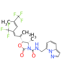 C=C(/C=C(\C=C(/C)C(F)(F)F)C(F)(F)F)[C@H]1OC(=O)N(C(=O)NCc2cccc3ccnn23)[C@H]1C